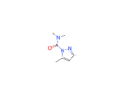 Cc1c[c]nn1C(=O)N(C)C